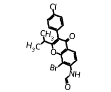 CC(C)c1oc2c(Br)c(NC=O)ccc2c(=O)c1-c1ccc(Cl)cc1